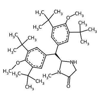 COc1c(C(C)(C)C)cc(C(c2cc(C(C)(C)C)c(OC)c(C(C)(C)C)c2)[C@H]2NCC(=O)N2C)cc1C(C)(C)C